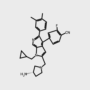 Cc1ccc(-c2ncc3c(cc(CN4CC[C@H](N)C4)n3CC3CC3)c2-c2ccc(C#N)c(F)c2)cc1C